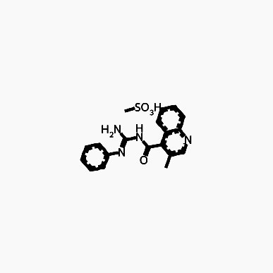 CS(=O)(=O)O.Cc1cnc2ccccc2c1C(=O)NC(N)=Nc1ccccc1